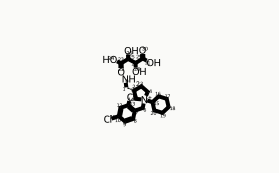 NC[C@@H]1CC[N+](Cc2ccc(Cl)cc2Cl)(C2CCCCC2)C1.O=C(O)C(O)C(O)C(=O)O